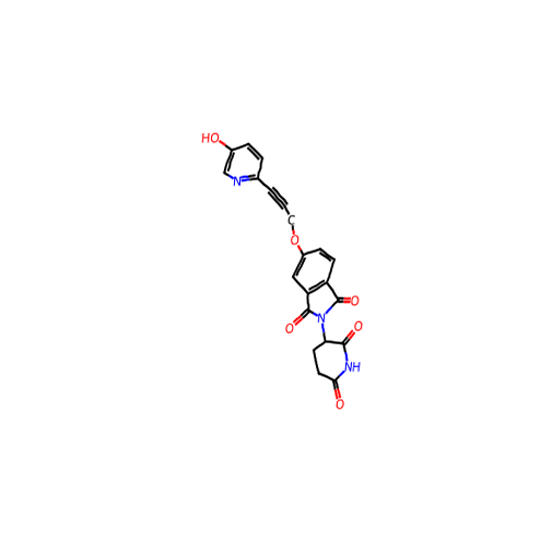 O=C1CCC(N2C(=O)c3ccc(OCC#Cc4ccc(O)cn4)cc3C2=O)C(=O)N1